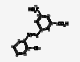 O=C(O)c1cc(C=Nc2ccccc2Cl)cc(C(=O)O)c1